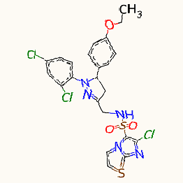 CCOc1ccc(C2CC(CNS(=O)(=O)c3c(Cl)nc4sccn34)=NN2c2ccc(Cl)cc2Cl)cc1